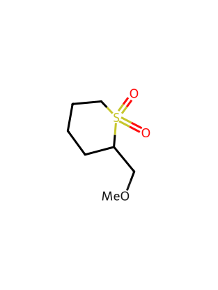 COCC1CCCCS1(=O)=O